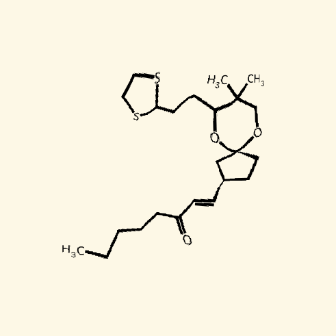 CCCCCC(=O)C=C[C@@H]1CC[C@]2(C1)OCC(C)(C)C(CCC1SCCS1)O2